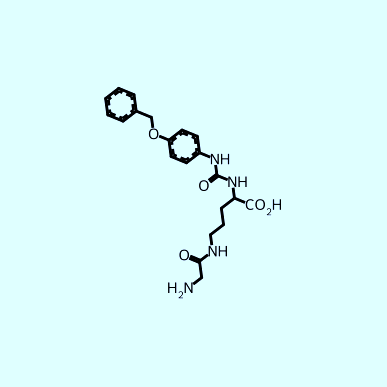 NCC(=O)NCCCC(NC(=O)Nc1ccc(OCc2ccccc2)cc1)C(=O)O